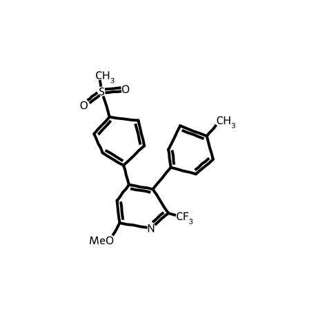 COc1cc(-c2ccc(S(C)(=O)=O)cc2)c(-c2ccc(C)cc2)c(C(F)(F)F)n1